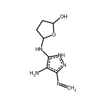 C=Nc1n[nH]c(NC2CCC(O)O2)c1N